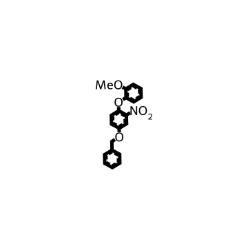 COc1ccccc1Oc1ccc(OCc2ccccc2)cc1[N+](=O)[O-]